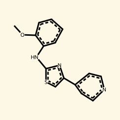 COc1ccccc1Nc1nc(-c2ccncc2)cs1